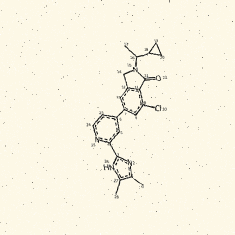 Cc1nc(-c2cc(-c3cc(Cl)c4c(c3)CN(C(C)C3CC3)C4=O)ccn2)[nH]c1C